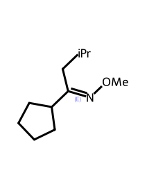 CO/N=C(\CC(C)C)C1CCCC1